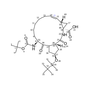 CC(C)(C)OC(=O)N[C@H]1CCCCC/C=C\[C@@H]2C[C@@]2(C(=O)O)NC(=O)[C@@H]2C[C@@H](O[Si](C)(C)C(C)(C)C)CC2C1=O